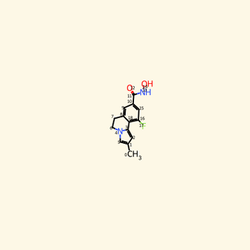 Cc1cc2n(c1)CCc1cc(C(=O)NO)cc(F)c1-2